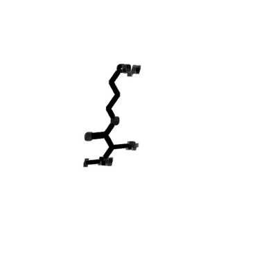 CC(C)C(NI)C(=O)OCCCC(=O)O